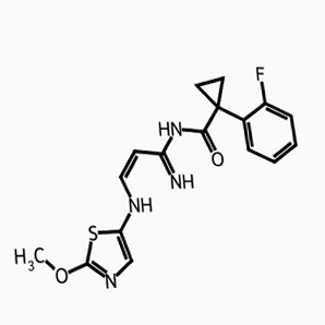 COc1ncc(N/C=C\C(=N)NC(=O)C2(c3ccccc3F)CC2)s1